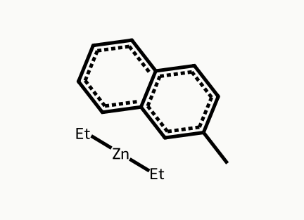 C[CH2][Zn][CH2]C.Cc1ccc2ccccc2c1